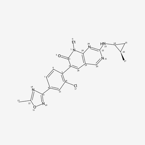 CCn1c(=O)c(-c2ccc(-c3noc(C)n3)cc2Cl)cc2cnc(NC3C[C@H]3C)nc21